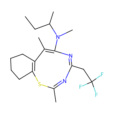 CCC(C)N(C)c1nc(CC(F)(F)F)nc(C)sc2c(c1C)CCCC2